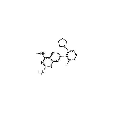 CNc1nc(N)nc2cc(-c3c(F)cccc3N3CCCC3)ccc12